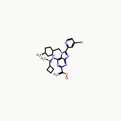 C=C(OCC)c1nc(N[C@H](C)C2CCC2)c2c(n1)nc(-c1cc(C(C)C)ccn1)n2CC1CCC(C)CC1